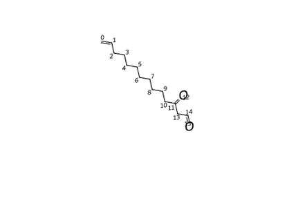 C=CCCCCCCCCCC(=O)CC=O